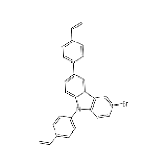 C=Cc1ccc(-c2ccc3c(c2)c2cc(Br)ccc2n3-c2ccc(C=C)cc2)cc1